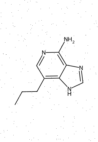 CCCc1cnc(N)c2nc[nH]c12